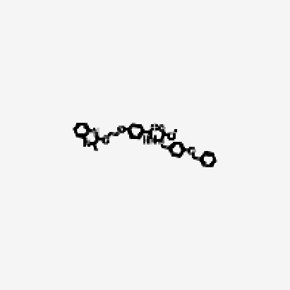 COC(=O)[C@H](Cc1ccc(OCc2ccccc2)cc1)NC(=O)c1ccc(OCCOc2nc3ccccc3nc2C)cc1